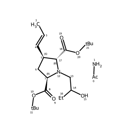 CC(N)=O.CC=C[C@@H]1C[C@H](C(=O)OC(C)(C)C)N(CC(O)CC)[C@H]1C(=O)OC(C)(C)C